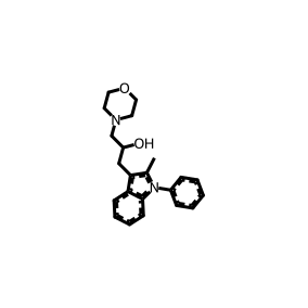 Cc1c(CC(O)CN2CCOCC2)c2ccccc2n1-c1ccccc1